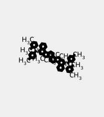 Cc1ccc(N(c2ccc(C)cc2C)c2cc3c(c4ccccc24)-c2ccc4c5c(ccc4c2C3(C)C)-c2c(cc(N(c3ccc(C)cc3)c3ccc(C)cc3C)c3ccccc23)C5(C)C)cc1